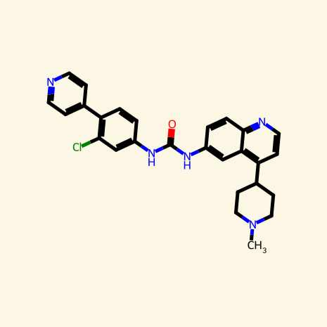 CN1CCC(c2ccnc3ccc(NC(=O)Nc4ccc(-c5ccncc5)c(Cl)c4)cc23)CC1